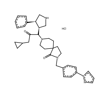 Cl.O=C(CC1CC1)C([C@@H]1CNC[C@@H]1c1ccccc1)N1CCC2(CCN(Cc3ccc(-n4cccn4)cc3)C2=O)CC1